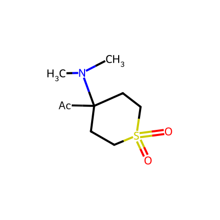 CC(=O)C1(N(C)C)CCS(=O)(=O)CC1